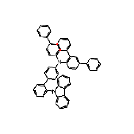 c1ccc(-c2ccc(N(c3ccc(-c4ccccc4-n4c5ccccc5c5ccccc54)cc3)c3ccc(-c4ccccc4)cc3-c3ccccc3)cc2)cc1